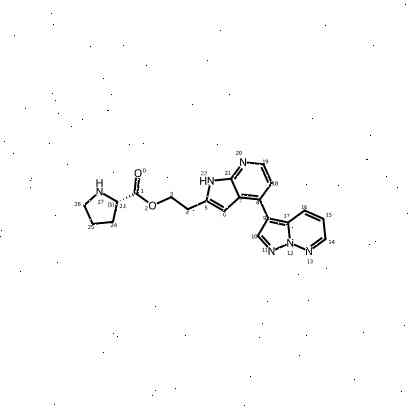 O=C(OCCc1cc2c(-c3cnn4ncccc34)ccnc2[nH]1)[C@@H]1CCCN1